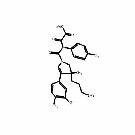 COC(=O)C(=O)N(C(=O)N1CC(C)(CCCSC)C(c2ccc(C(F)(F)F)c(Cl)c2)=N1)c1ccc(C(F)(F)F)cc1